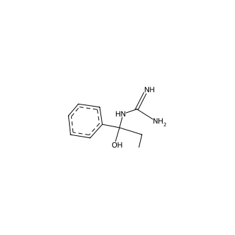 CCC(O)(NC(=N)N)c1ccccc1